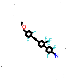 CCOCc1cc(F)c(C#Cc2ccc(-c3cc(F)c(C#N)c(F)c3)c(C(F)(F)F)c2)c(F)c1